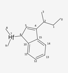 CCC(C)C1=C[CH]([Hf]([CH3])[CH3])c2ccccc21